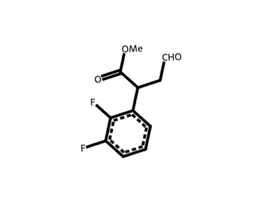 COC(=O)C(CC=O)c1cccc(F)c1F